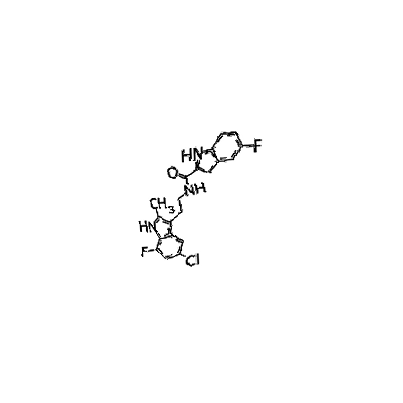 Cc1[nH]c2c(F)cc(Cl)cc2c1CCNC(=O)c1cc2cc(F)ccc2[nH]1